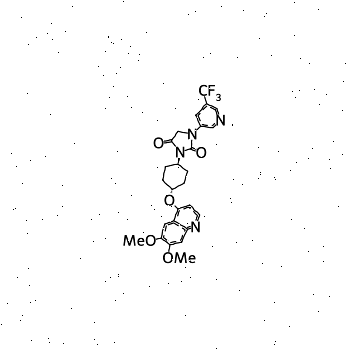 COc1cc2nccc(O[C@H]3CC[C@H](N4C(=O)CN(c5cncc(C(F)(F)F)c5)C4=O)CC3)c2cc1OC